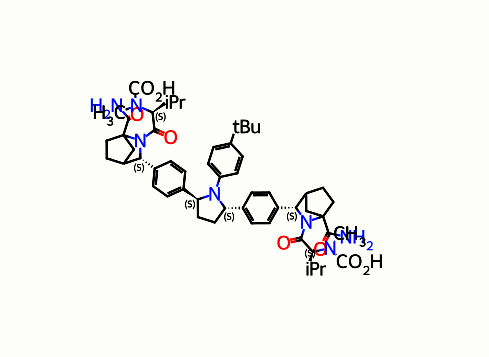 CC(C)[C@@H](C(=O)N1[C@H](c2ccc([C@@H]3CC[C@@H](c4ccc([C@@H]5C6CCC(C(N)=O)(C6)N5C(=O)[C@H](C(C)C)N(C)C(=O)O)cc4)N3c3ccc(C(C)(C)C)cc3)cc2)C2CCC1(C(N)=O)C2)N(C)C(=O)O